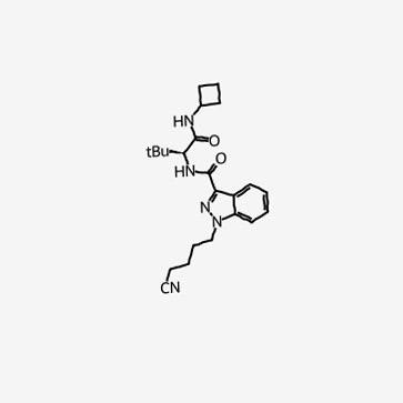 CC(C)(C)[C@H](NC(=O)c1nn(CCCCC#N)c2ccccc12)C(=O)NC1CCC1